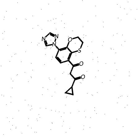 O=C(CC(=O)C1CC1)c1ccc(-n2cncn2)c2c1SCCO2